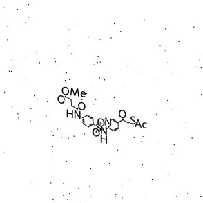 COC(=O)CCC(=O)Nc1ccc(S(=O)(=O)Nc2ccc(C(=O)CSC(C)=O)cn2)cc1